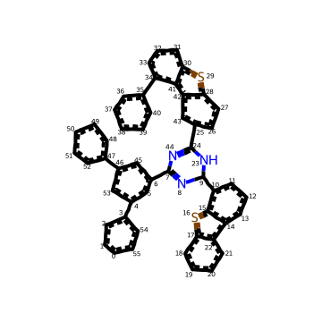 c1ccc(-c2cc(C3=NC(c4cccc5c4sc4ccccc45)NC(c4ccc5sc6cccc(-c7ccccc7)c6c5c4)=N3)cc(-c3ccccc3)c2)cc1